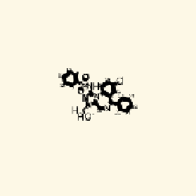 Cn1nc(NS(=O)(=O)c2ccccc2)[n+]2c1CN=C(c1ccccc1)c1cc(Cl)ccc1-2.[OH-]